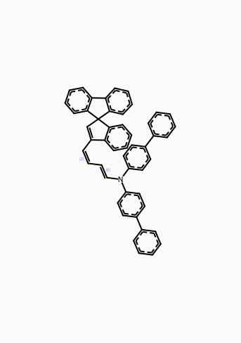 C1=C(/C=C\C=C\N(c2ccc(-c3ccccc3)cc2)c2ccc(-c3ccccc3)cc2)c2ccccc2C12c1ccccc1-c1ccccc12